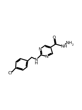 NNC(=O)c1cnc(NCc2ccc(Cl)cc2)nc1